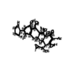 CCN(C1CC1)[C@@H]1C(O)=C(C(C)=O)C(=O)[C@@]2(O)C(O)=C3C(=O)c4c(O)cc(C5CCCN5)c(C(F)(F)F)c4C[C@H]3C[C@@H]12